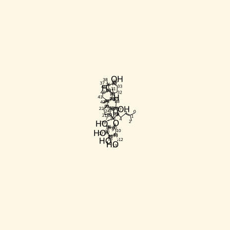 CC(C)=CCC[C@](C)(O[C@@H]1C[C@H](CO)[C@@H](O)[C@H](O)[C@H]1O)[C@H]1CC[C@]2(C)[C@@H]1[C@H](O)C[C@@H]1[C@@]3(C)CC[C@H](O)C(C)(C)[C@@H]3CC[C@]12C